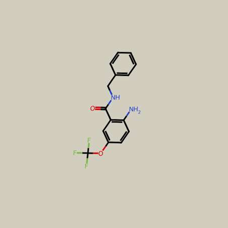 Nc1ccc(OC(F)(F)F)cc1C(=O)NCc1ccccc1